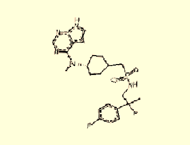 CN(c1ncnc2[nH]ccc12)[C@H]1CC[C@H](CS(=O)(=O)NCC(C)(F)c2ccc(F)cc2)CC1